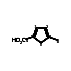 CC1=CC=C(C(=O)O)C1